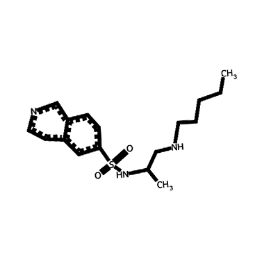 CCCCCNCC(C)NS(=O)(=O)c1ccc2cnccc2c1